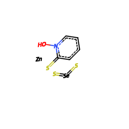 On1ccccc1=S.S=[Se]=S.[Zn]